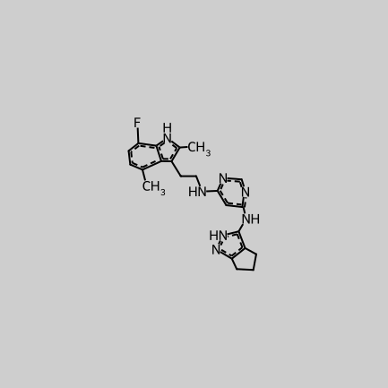 Cc1[nH]c2c(F)ccc(C)c2c1CCNc1cc(Nc2[nH]nc3c2CCC3)ncn1